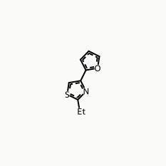 CCc1nc(-c2ccco2)cs1